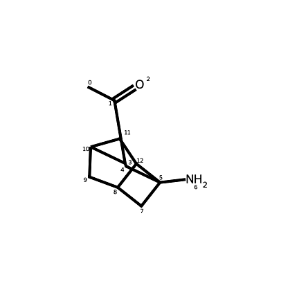 CC(=O)C1CC2(N)CC3CC1CC32